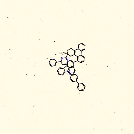 CC1(c2nc(-c3ccccc3)cc(-c3ccccc3)n2)CCc2c(c3c(-c4ccc5c6ccccc6n(-c6ccc(-c7ccccc7)cc6)c5c4)cccc3c3ccccc23)C1